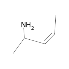 C/C=C\C(C)N